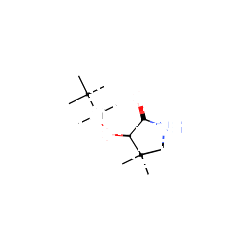 CC1(C)CNC(=O)C1O[Si](C)(C)C(C)(C)C